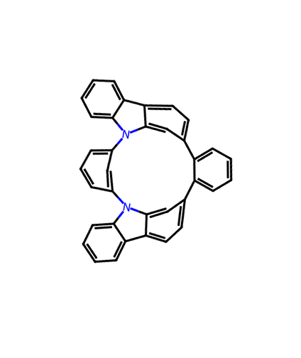 c1ccc2c3ccc4c5ccccc5n(c5cccc(c5)n5c6ccccc6c6ccc(cc65)c2c1)c4c3